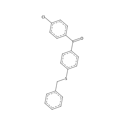 O=C(c1ccc(Cl)cc1)c1ccc(SCc2ccccc2)cc1